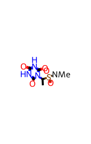 CNS(=O)(=O)C(C)n1c(=O)[nH]c(=O)[nH]c1=O